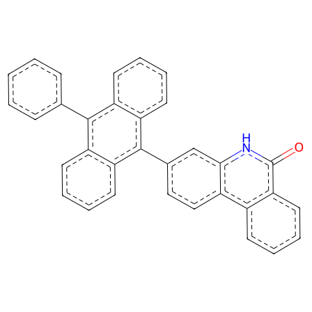 O=c1[nH]c2cc(-c3c4ccccc4c(-c4ccccc4)c4ccccc34)ccc2c2ccccc12